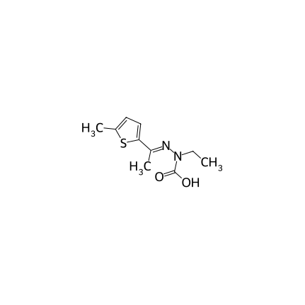 CCN(N=C(C)c1ccc(C)s1)C(=O)O